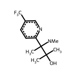 CNC(C)(c1ccc(C(F)(F)F)cn1)C(C)(C)O